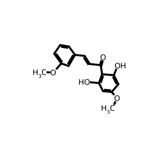 COc1cccc(C=CC(=O)c2c(O)cc(OC)cc2O)c1